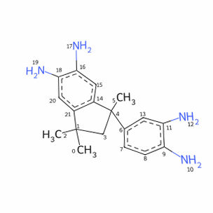 CC1(C)CC(C)(c2ccc(N)c(N)c2)c2cc(N)c(N)cc21